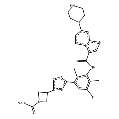 COC(=O)N1CC(c2noc(-c3cc(F)c(C)c(NC(=O)c4cnc5cc(N6CCNCC6)ccn45)c3F)n2)C1